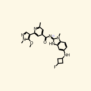 COc1c(-c2cc(C(=O)/N=c3\[nH]c4cc(NC5CC(F)C5)ccc4n3C)cc(C)n2)cnn1C